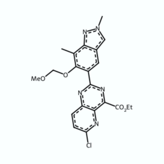 CCOC(=O)c1nc(-c2cc3cn(C)nc3c(C)c2OCOC)nc2ccc(Cl)nc12